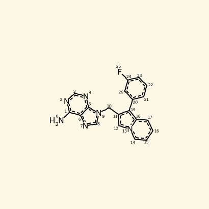 Nc1ncnc2c1ncn2Cc1cn2ccccc2c1-c1cccc(F)c1